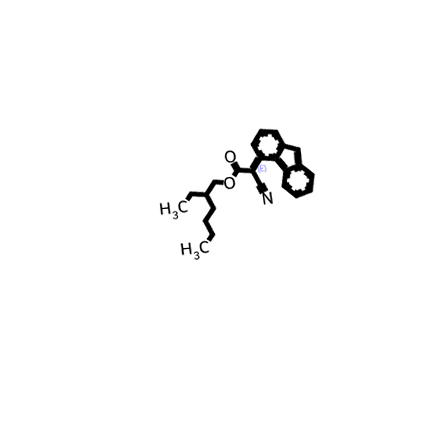 CCCCC(CC)COC(=O)/C(C#N)=c1\cccc2c1=c1ccccc1=C2